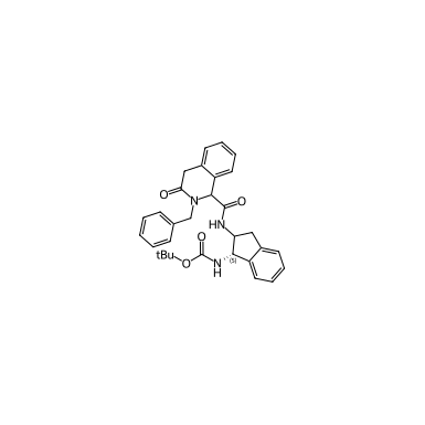 CC(C)(C)OC(=O)N[C@H]1c2ccccc2CC1NC(=O)C1c2ccccc2CC(=O)N1Cc1ccccc1